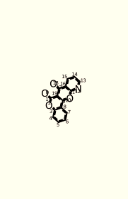 O=c1oc2ccccc2c2oc3ncccc3c(=O)c12